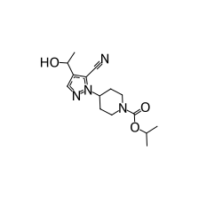 CC(C)OC(=O)N1CCC(n2ncc(C(C)O)c2C#N)CC1